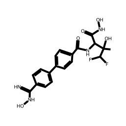 CC(O)(C(F)F)C(NC(=O)c1ccc(-c2ccc(C(=N)NO)cc2)cc1)C(=O)NO